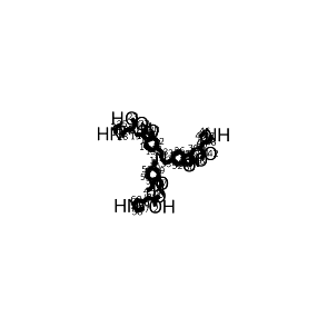 O=C(O)[C@@H](Cc1noc2cc(CN(Cc3ccc4c(C[C@H](C(=O)O)[C@H]5CCNC5)noc4c3)Cc3ccc4c(C[C@H](C(=O)O)[C@H]5CCNC5)noc4c3)ccc12)[C@H]1CCNC1